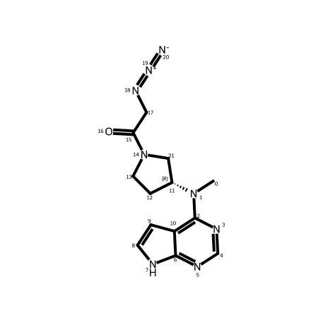 CN(c1ncnc2[nH]ccc12)[C@@H]1CCN(C(=O)CN=[N+]=[N-])C1